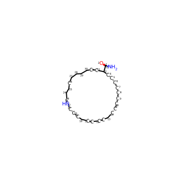 NC(=O)C1CCCCCCCCCCCCCCCCCCNCCCCCCCCCC1